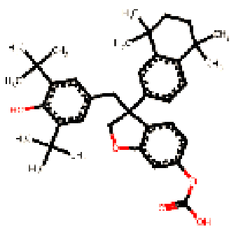 CC(C)(C)c1cc(CC2(c3ccc4c(c3)C(C)(C)CCC4(C)C)COc3cc(OC(=O)O)ccc32)cc(C(C)(C)C)c1O